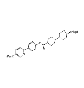 CCCCCCC[C@H]1CC[C@H]([C@H]2CC[C@H](C(=O)Oc3ccc(-c4ncc(CCCCC)cn4)cc3)CC2)CC1